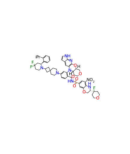 CC(C)c1ccccc1[C@@H]1CC(F)(F)CCN1C1CC2(CCN(c3ccc(C(=O)NS(=O)(=O)c4cc5c(c([N+](=O)[O-])c4)N[C@H](C4(F)CCOCC4)CO5)c(N4c5cc6cc[nH]c6nc5O[C@H]5COCC[C@@H]54)c3)CC2)C1